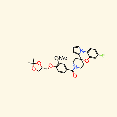 COc1cc(C(=O)N2CCC3(CC2)Oc2cc(F)ccc2-n2cccc23)ccc1OC[C@@H]1COC(C)(C)O1